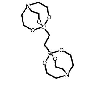 C1CN2CCO[Si](CC[Si]34OCCN(CCO3)CCO4)(O1)OCC2